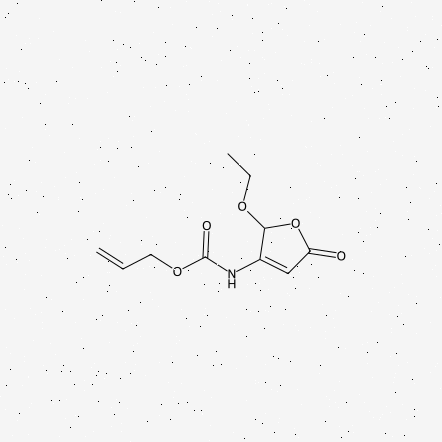 C=CCOC(=O)NC1=CC(=O)OC1OCC